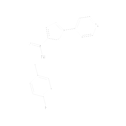 O=C(NCc1ccc(F)cc1)c1ccc(-c2ccncc2)s1